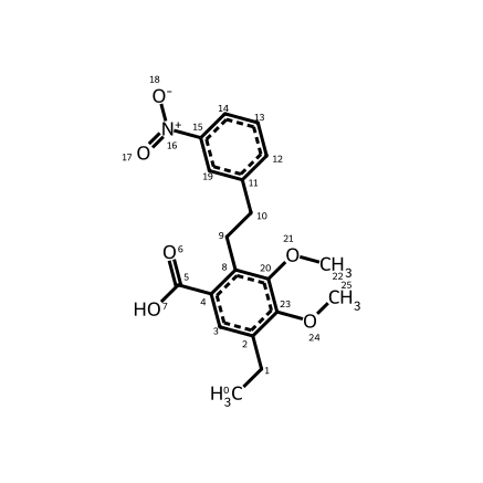 CCc1cc(C(=O)O)c(CCc2cccc([N+](=O)[O-])c2)c(OC)c1OC